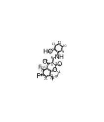 CCOC(=O)/C(=C\Nc1ccccc1O)C(=O)c1cc(F)cc(F)c1F